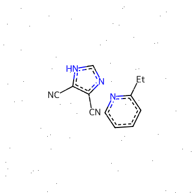 CCc1ccccn1.N#Cc1nc[nH]c1C#N